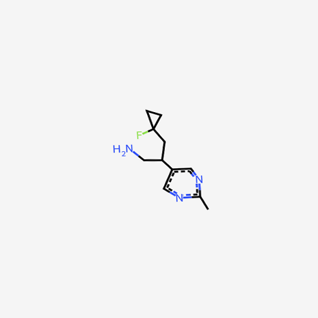 Cc1ncc(C(CN)CC2(F)CC2)cn1